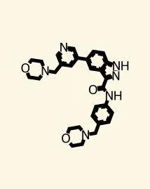 O=C(Nc1ccc(CN2CCOCC2)cc1)c1n[nH]c2ccc(-c3cncc(CN4CCOCC4)c3)cc12